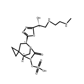 CNCCNC[C@@H](O)c1nnc([C@@H]2CC3(CC3)[C@@H]3CN2C(=O)N3OS(=O)(=O)O)o1